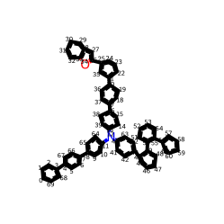 c1ccc(-c2ccc(-c3ccc(N(c4ccc(-c5ccc(-c6cccc(-c7cc8ccccc8o7)c6)cc5)cc4)c4ccc(-c5ccccc5-c5ccccc5-c5ccccc5)cc4)cc3)cc2)cc1